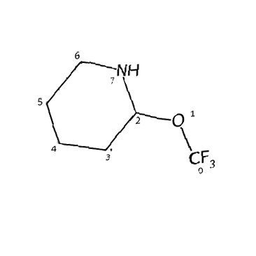 FC(F)(F)OC1[CH]CCCN1